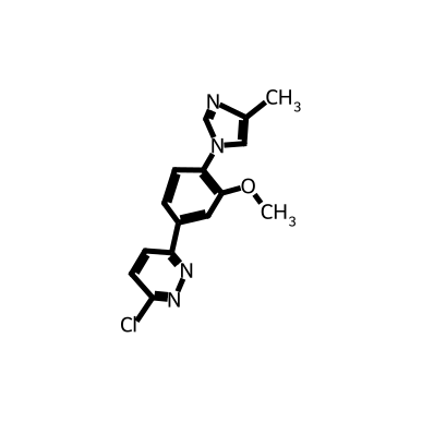 COc1cc(-c2ccc(Cl)nn2)ccc1-n1cnc(C)c1